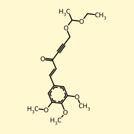 CCOC(C)OCC#CC(=O)/C=C/c1cc(OC)c(OC)c(OC)c1